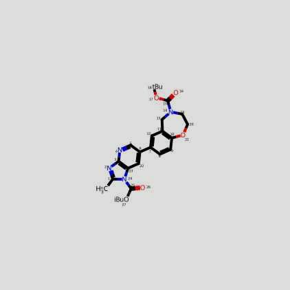 Cc1nc2ncc(-c3ccc4c(c3)CN(C(=O)OC(C)(C)C)CCO4)cc2n1C(=O)OCC(C)C